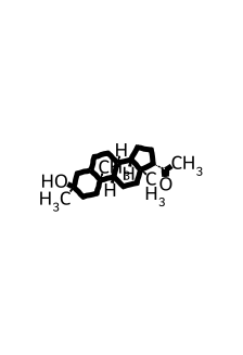 CC(=O)[C@H]1CC[C@H]2[C@@H]3CCC4C[C@](C)(O)CC[C@]4(C)[C@H]3CC[C@]12C